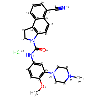 COc1ccc(NC(=O)N2CCc3c2ccc2c(C#N)cccc32)cc1N1CCN(C)CC1.Cl